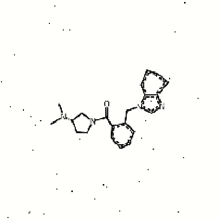 CN(C)C1CCN(C(=O)c2ccccc2Cn2cnc3ccccc32)C1